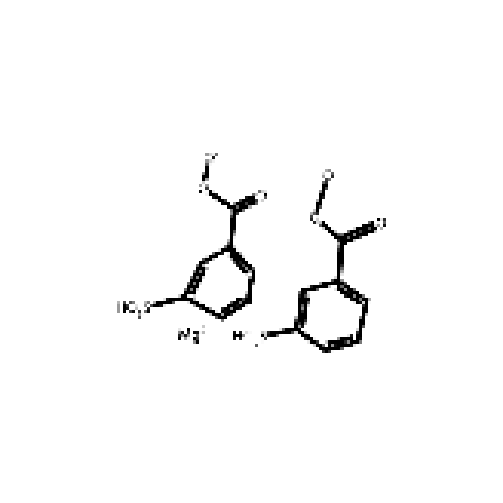 O=C(O[O-])c1cccc(S(=O)(=O)O)c1.O=C(O[O-])c1cccc(S(=O)(=O)O)c1.[Mg+2]